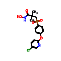 CC(C)(CS(=O)(=O)c1ccc(Oc2ccc(Cl)cn2)cc1)C(=O)NO